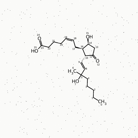 CCCCCC(C)(O)/C=C/[C@H]1C(=O)C[C@H](O)[C@@H]1C/C=C\CCCC(=O)O